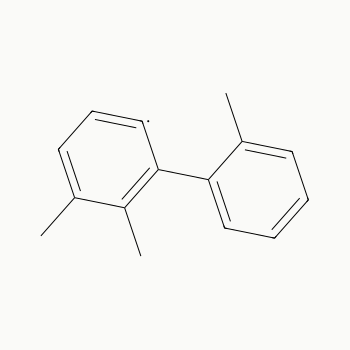 Cc1ccccc1-c1[c]ccc(C)c1C